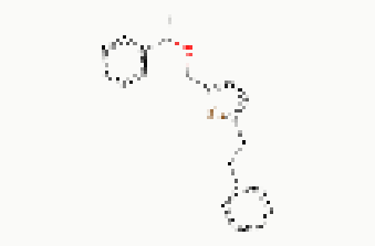 C[C@H](OCc1ccc(CCc2ccccc2)s1)c1ccccc1